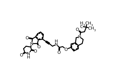 CC(C)(C)CC(=O)N1CCc2ccc(OCC(=O)NCC#Cc3cccc4c3C(=O)N(C3CCC(=O)NC3=O)C4=O)cc2C1